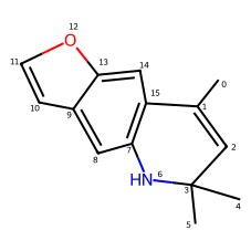 CC1=CC(C)(C)Nc2cc3ccoc3cc21